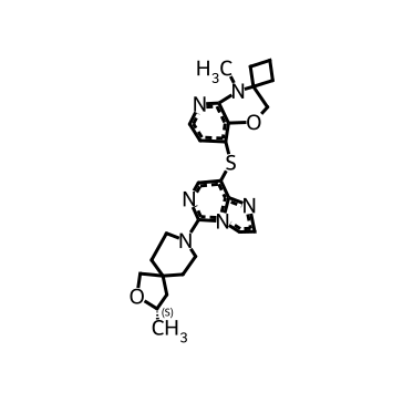 C[C@H]1CC2(CCN(c3ncc(Sc4ccnc5c4OCC4(CCC4)N5C)c4nccn34)CC2)CO1